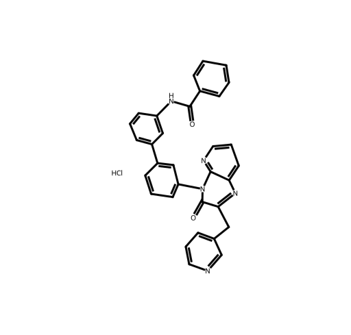 Cl.O=C(Nc1cccc(-c2cccc(-n3c(=O)c(Cc4cccnc4)nc4cccnc43)c2)c1)c1ccccc1